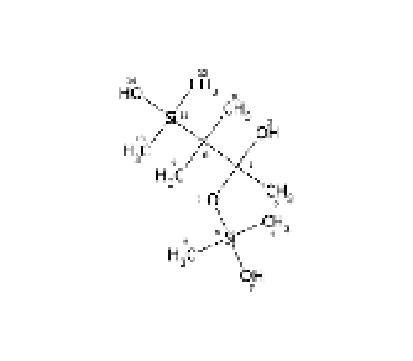 CC(O)(O[Si](C)(C)O)C(C)(C)[Si](C)(C)O